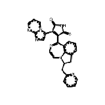 O=C1NC(=O)C(c2cnc3ncccn23)=C1C1=NC=CN2c3c(cccc31)CC2Cc1ccccn1